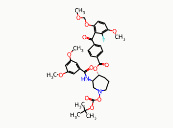 COCOc1ccc(OC)c(F)c1C(=O)c1ccc(C(=O)O[C@@H]2CCCN(OC(=O)OC(C)(C)C)C[C@H]2NC(=O)c2cc(OC)cc(OC)c2)cc1